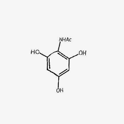 CC(=O)Nc1c(O)cc(O)cc1O